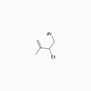 C=C(C)C(CC)CC(C)C